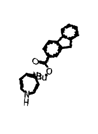 C1=CC=CNC=C1.CC(C)(C)OC(=O)c1ccc2c(c1)Cc1ccccc1-2